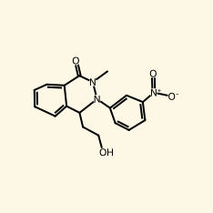 CN1C(=O)c2ccccc2C(CCO)N1c1cccc([N+](=O)[O-])c1